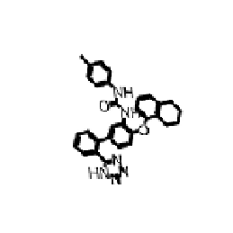 Cc1ccc(NC(=O)Nc2cc(-c3ccccc3-c3nnn[nH]3)ccc2Oc2cccc3c2CCCC3)cc1